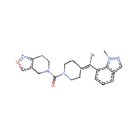 Cn1ncc2cccc(C(C#N)=C3CCN(C(=O)N4CCc5nocc5C4)CC3)c21